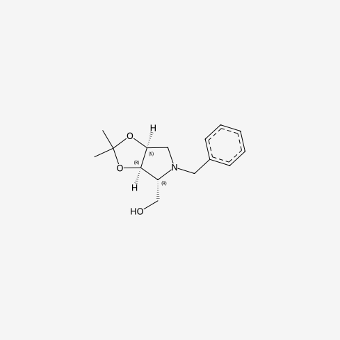 CC1(C)O[C@H]2[C@H](CN(Cc3ccccc3)[C@@H]2CO)O1